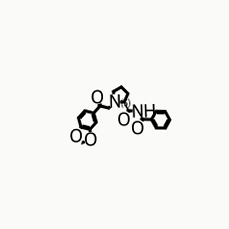 O=C(CN1CCC[C@H]1C(=O)NC(=O)c1ccccc1)c1ccc2c(c1)OCO2